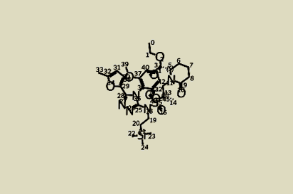 CCOC(=O)[C@@H]1CCCC(=O)N1C[C@H](C)S(=O)(=O)N(CC[Si](C)(C)C)c1nnc(-c2ccc(C)o2)n1-c1c(OC)cccc1OC